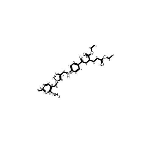 CCOC(=O)CCC(CC(=O)c1ccc(NCc2cn(Cc3cnc(C)nc3N)nn2)cc1)C(=O)OCC